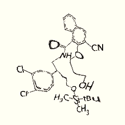 CC(C)(C)[Si](C)(C)OCC[C@H](CNC(=O)c1c(OCCCO)c(C#N)cc2ccccc12)c1ccc(Cl)c(Cl)c1